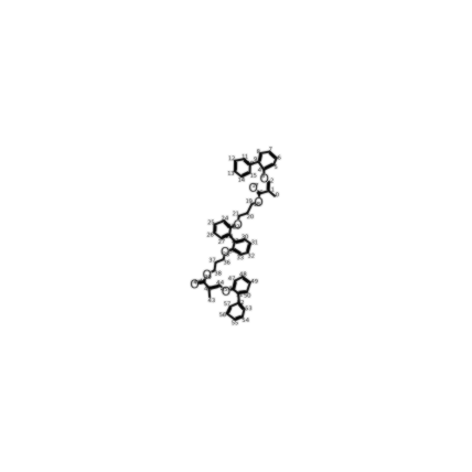 CC(=COc1ccccc1-c1ccccc1)C(=O)OCCCOc1ccccc1-c1ccccc1OCCCOC(=O)C(C)=COc1ccccc1-c1ccccc1